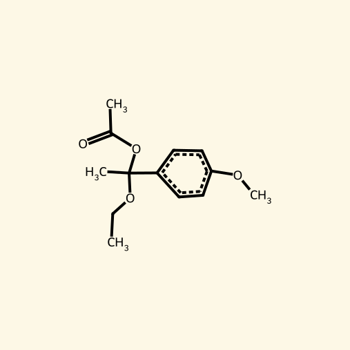 CCOC(C)(OC(C)=O)c1ccc(OC)cc1